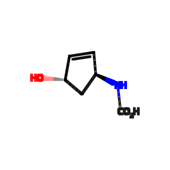 O=C(O)N[C@@H]1C=C[C@@H](O)C1